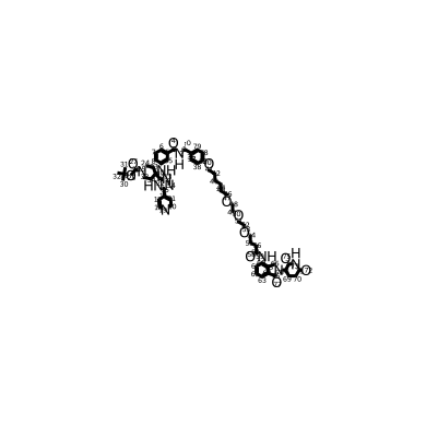 C[C@@H](NC(=O)c1cccc(NC2(c3nnc(-c4ccncc4)[nH]3)CCN(C(=O)OC(C)(C)C)CC2)c1)c1ccc(OCCCCCCOCCOCCOCCCC(=O)Nc2cccc3c2CN(C2CCC(=O)NC2=O)C3=O)cc1